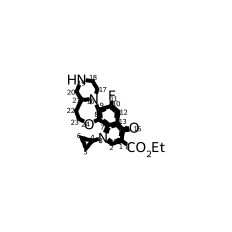 CCOC(=O)c1cn(C2CC2)c2c3c(c(F)cc2c1=O)N1CCNCC1CCO3